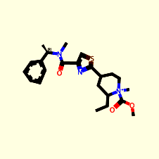 CCC1CC(c2nc(C(=O)N(C)[C@H](C)c3ccccc3)cs2)CC[N+]1(C)C(=O)OC